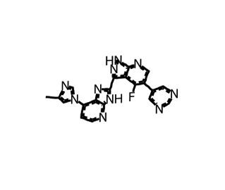 Cc1cn(-c2ccnc3[nH]c(-c4n[nH]c5ncc(-c6cncnc6)c(F)c45)nc23)cn1